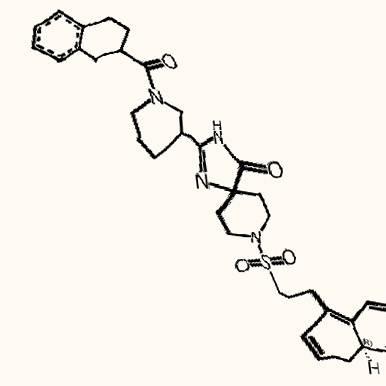 O=C(C1CCc2ccccc2C1)N1CCCC(C2=NC3(CCN(S(=O)(=O)CCC4=C5C=CC=C[C@H]5CC=C4)CC3)C(=O)N2)C1